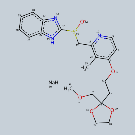 COCC1(CCOc2ccnc(C[S+]([O-])c3nc4ccccc4[nH]3)c2C)OCCO1.[NaH]